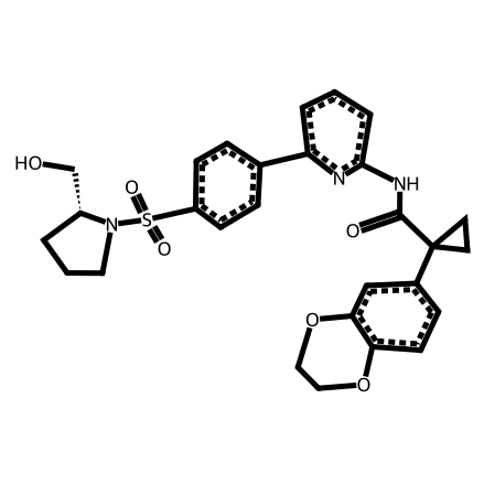 O=C(Nc1cccc(-c2ccc(S(=O)(=O)N3CCC[C@@H]3CO)cc2)n1)C1(c2ccc3c(c2)OCCO3)CC1